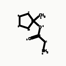 BCC(=O)OC1(C)CCCC1